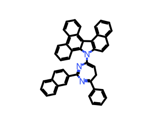 C1=C(n2c3ccc4ccccc4c3c3c4ccccc4c4ccccc4c32)N=C(c2ccc3ccccc3c2)N=C(c2ccccc2)C1